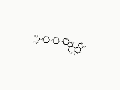 CCc1c(-c2ccnc3[nH]ncc23)[nH]c2ccc(N3CCN(C4CCN(C(C)C)CC4)CC3)cc12